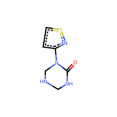 O=C1NCNCN1c1ccsn1